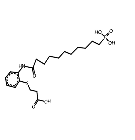 O=C(O)CCSc1ccccc1NC(=O)CCCCCCCCCCP(=O)(O)O